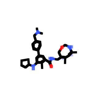 C/C1=C/C(C)=C(/CNC(=O)c2cc(-c3ccc(CN(C)C)cc3)cc(NC3CCCC3)c2C)COCN1